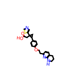 O=C(O)CC1(c2cncs2)CC1c1ccc(OCCc2ccc3c(n2)NCCC3)cc1